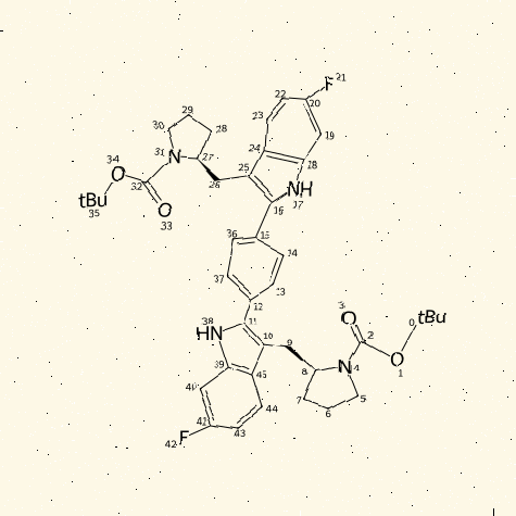 CC(C)(C)OC(=O)N1CCC[C@H]1Cc1c(-c2ccc(-c3[nH]c4cc(F)ccc4c3C[C@@H]3CCCN3C(=O)OC(C)(C)C)cc2)[nH]c2cc(F)ccc12